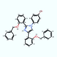 Brc1ccc(-n2cc(-c3ccccc3OCc3ccccc3)nc2-c2ccccc2OCc2ccccc2)cc1